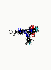 Cc1cc(CN(Cc2cn3c4c(c(F)c(F)cc4c2=O)OCC3)[C@H]2CCCN(c3ccc([N+](=O)[O-])nc3)C2)cc(C)c1F